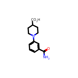 NC(=O)c1cccc(N2CCC(C(=O)O)CC2)c1